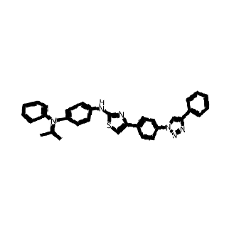 CC(C)N(c1ccccc1)c1ccc(Nc2nc(-c3ccc(-n4cc(-c5ccccc5)nn4)cc3)cs2)cc1